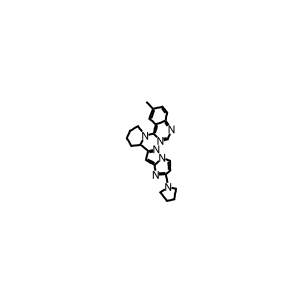 Cc1ccc2ncnc(N3CCCCC3c3cc4nc(N5CCCC5)ccn4n3)c2c1